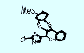 COc1ccc2nc(-c3ccccc3)c(C(O)c3cnc(Cl)s3)nc2c1